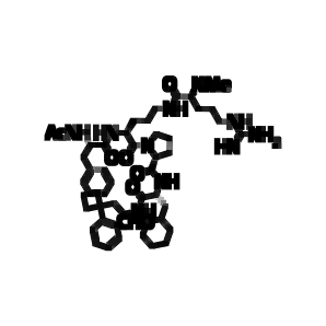 CN[C@@H](CCCNC(=N)N)C(=O)NCCC[C@H](NC(=O)[C@H](Cc1ccccc1)NC(C)=O)C(=O)N1CCC[C@H]1C(=O)N[C@H](CC1CCCCC1)C(=O)N[C@H](C=O)CC1(c2ccccc2)CCC1